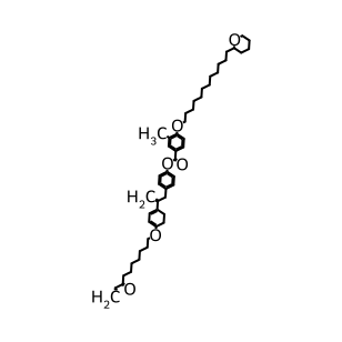 C=CC(=O)CCCCCCCOC1=CC=C(C(=C)Cc2ccc(OC(=O)c3ccc(OCCCCCCCCCCCCC4CCCCO4)c(C)c3)cc2)CC1